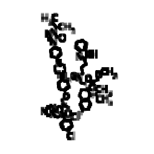 CCC(C)n1ncn(-c2ccc(N3CCN(c4ccc(OC[C@H]5CO[C@](Cn6cncn6)(c6ccc(Cl)cc6Cl)O5)cc4)CC3)cc2)c1=O.COCC(=O)O[C@]1(CCN(C)CCCc2nc3ccccc3[nH]2)CCc2cc(F)ccc2[C@@H]1C(C)C